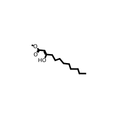 CCCCCCCCCC(O)=CC(=O)OC